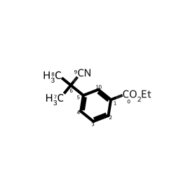 CCOC(=O)c1cccc(C(C)(C)C#N)c1